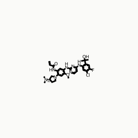 C=CC(=O)Nc1cc(Nc2nccc(Nc3cc(Cl)c(F)cc3C(C)(C)O)n2)c(OC)cc1N1CC[C@@H](N(C)C)C1